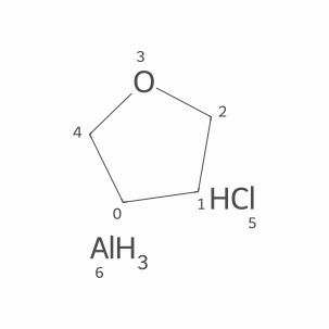 C1CCOC1.Cl.[AlH3]